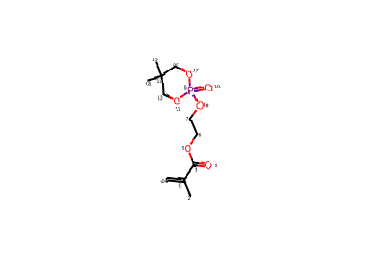 C=C(C)C(=O)OCCOP1(=O)OCC(C)(C)CO1